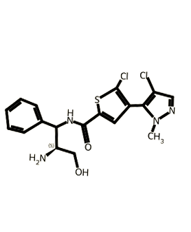 Cn1ncc(Cl)c1-c1cc(C(=O)NC(c2ccccc2)[C@H](N)CO)sc1Cl